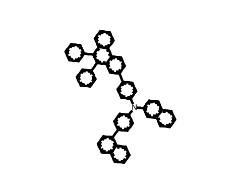 c1ccc(-c2c(-c3ccccc3)c3cc(-c4ccc(N(c5ccc(-c6cccc7ccccc67)cc5)c5ccc6ccccc6c5)cc4)ccc3c3ccccc23)cc1